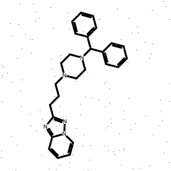 c1ccc(C(c2ccccc2)N2CCN(CCCc3nc4ccccn4n3)CC2)cc1